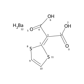 O=C(O)C(C(=O)O)=C1SC=CS1.[BaH2]